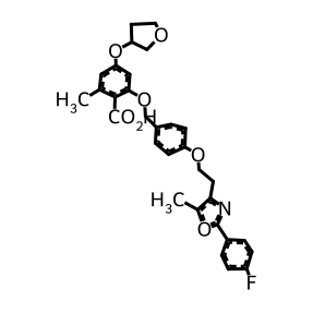 Cc1cc(OC2CCOC2)cc(OCc2ccc(OCCc3nc(-c4ccc(F)cc4)oc3C)cc2)c1C(=O)O